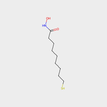 O=C(CCCCCCCCS)NO